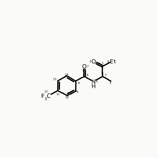 CCC(=O)C(C)NC(=O)c1ccc(C(F)(F)F)cc1